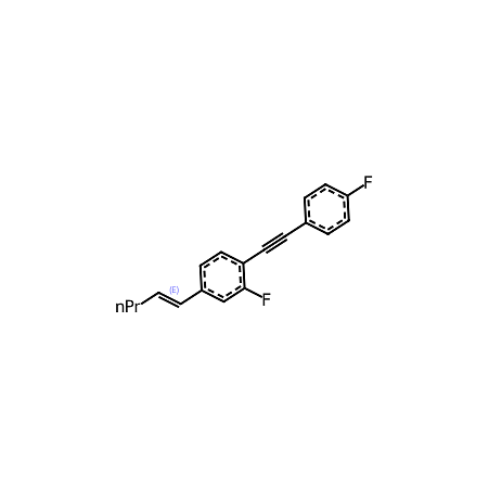 CCC/C=C/c1ccc(C#Cc2ccc(F)cc2)c(F)c1